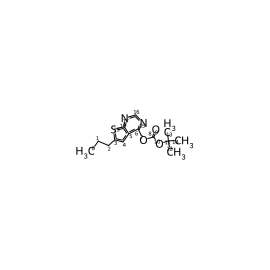 CCCc1cc2c(OC(=O)OC(C)(C)C)ncnc2s1